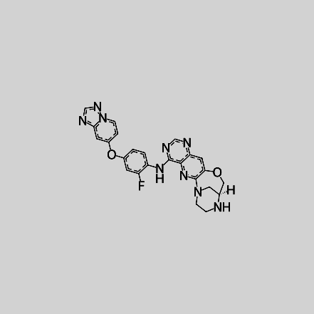 Fc1cc(Oc2ccn3ncnc3c2)ccc1Nc1ncnc2cc3c(nc12)N1CCN[C@H](CO3)C1